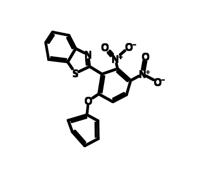 O=[N+]([O-])c1ccc(Oc2ccccc2)c(-c2nc3ccccc3s2)c1[N+](=O)[O-]